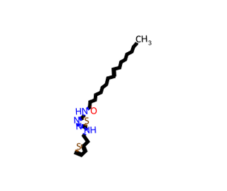 CCCCCCCCC=CCCCCCCCC(=O)Nc1nnc(NCCc2cccs2)s1